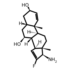 C[C@]12C=C[C@H](O)C[C@H]1C[C@H](O)[C@@H]1[C@@H]2CC[C@]2(C)[C@@H](N)C(F)=C[C@@H]12